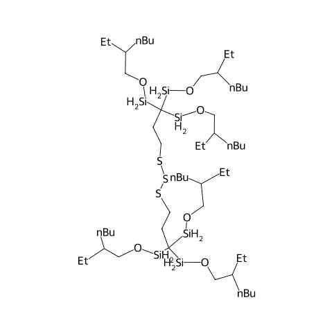 CCCCC(CC)CO[SiH2]C(CCSSSCCC([SiH2]OCC(CC)CCCC)([SiH2]OCC(CC)CCCC)[SiH2]OCC(CC)CCCC)([SiH2]OCC(CC)CCCC)[SiH2]OCC(CC)CCCC